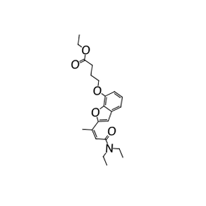 CCOC(=O)CCCOc1cccc2cc(/C(C)=C\C(=O)N(CC)CC)oc12